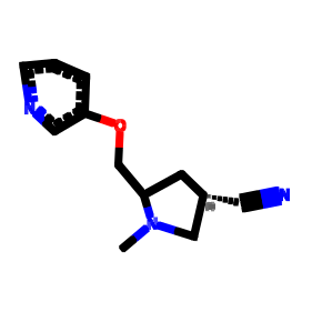 CN1C[C@@H](C#N)CC1COc1cccnc1